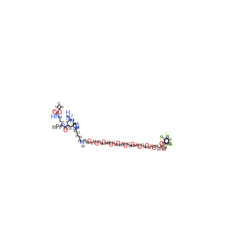 CCCN(CCCNC(=O)OC1CCC1)C(=O)C1=Cc2c(cnn2CCCCCN(C)CCOCCOCCOCCOCCOCCOCCOCCOCCOCCOCCC(=O)Oc2c(F)c(F)cc(F)c2F)N=C(N)C1